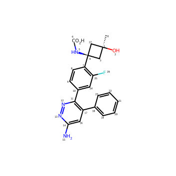 C[C@]1(O)C[C@](NC(=O)O)(c2ccc(-c3nnc(N)cc3-c3ccccc3)cc2F)C1